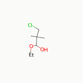 CCOC(O)C(C)(C)CCl